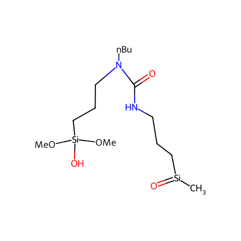 CCCCN(CCC[Si](O)(OC)OC)C(=O)NCCC[Si](C)=O